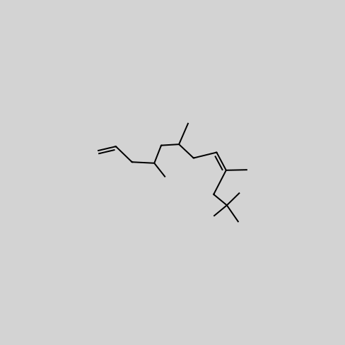 C=CCC(C)CC(C)CC=C(C)CC(C)(C)C